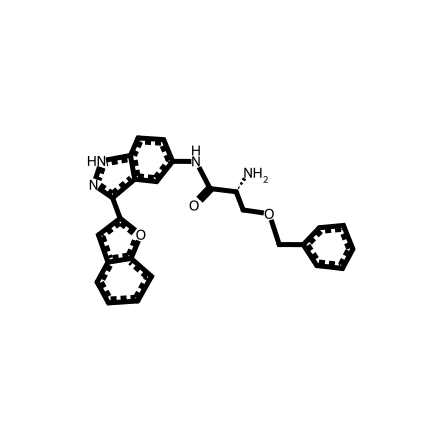 N[C@H](COCc1ccccc1)C(=O)Nc1ccc2[nH]nc(-c3cc4ccccc4o3)c2c1